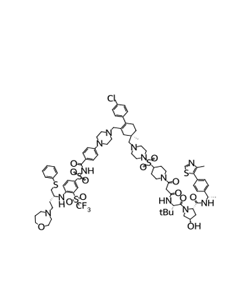 Cc1ncsc1-c1ccc([C@H](C)NC(=O)[C@@H]2C[C@@H](O)CN2C(=O)[C@@H](NC(=O)CC(=O)N2CCC(S(=O)(=O)N3CCN(C[C@]4(C)CCC(c5ccc(Cl)cc5)=C(CN5CCN(c6ccc(C(=O)NS(=O)(=O)c7ccc(N[C@H](CCN8CCCOCC8)CSc8ccccc8)c(S(=O)(=O)C(F)(F)F)c7)cc6)CC5)C4)CC3)CC2)C(C)(C)C)cc1